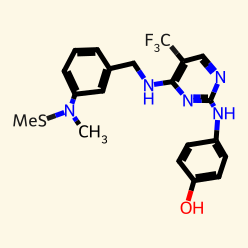 CSN(C)c1cccc(CNc2nc(Nc3ccc(O)cc3)ncc2C(F)(F)F)c1